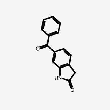 O=C1Cc2ccc(C(=O)c3ccccc3)cc2N1